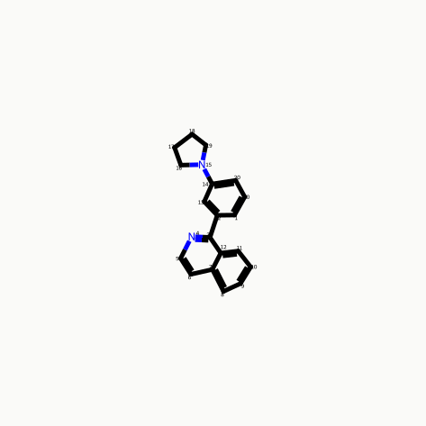 c1cc(-c2nccc3ccccc23)cc(N2CCCC2)c1